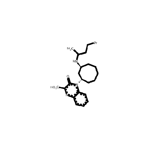 CC(C)CCC(C)N[C@H]1CCCCC[C@H](n2c(=O)c(C(=O)O)nc3ccccc32)C1